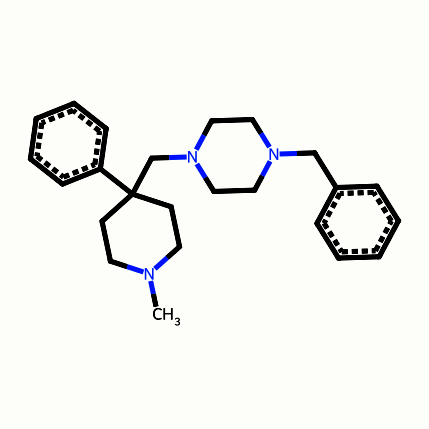 CN1CCC(CN2CCN(Cc3ccccc3)CC2)(c2ccccc2)CC1